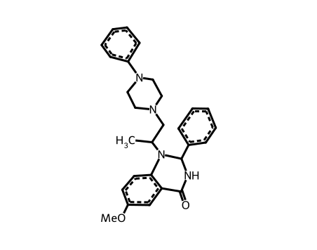 COc1ccc2c(c1)C(=O)NC(c1ccccc1)N2C(C)CN1CCN(c2ccccc2)CC1